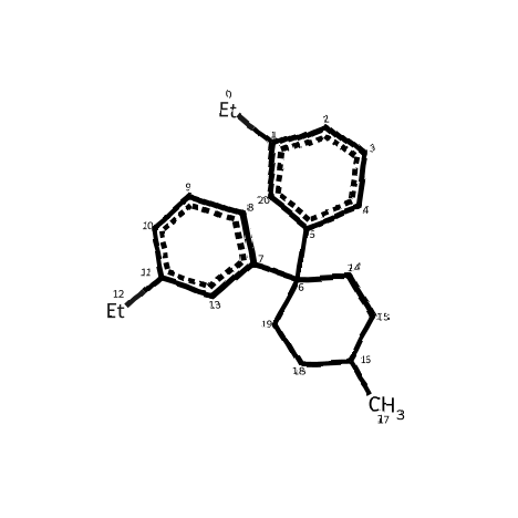 CCc1cccc(C2(c3cccc(CC)c3)CCC(C)CC2)c1